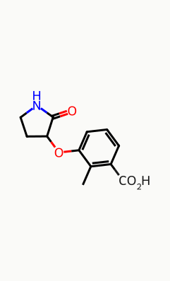 Cc1c(OC2CCNC2=O)cccc1C(=O)O